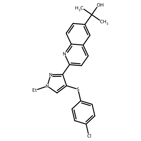 CCn1cc(Sc2ccc(Cl)cc2)c(-c2ccc3cc(C(C)(C)O)ccc3n2)n1